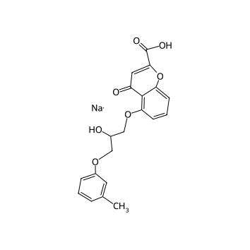 Cc1cccc(OCC(O)COc2cccc3oc(C(=O)O)cc(=O)c23)c1.[Na]